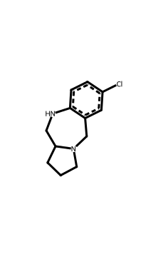 Clc1ccc2c(c1)CN1CCCC1CN2